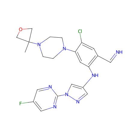 CC1(N2CCN(c3cc(Nc4cnn(-c5ncc(F)cn5)c4)c(C=N)cc3Cl)CC2)COC1